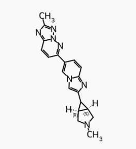 Cc1nc2ccc(-c3ccc4nc(C5[C@H]6CN(C)C[C@@H]56)cn4c3)nn2n1